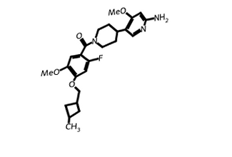 COc1cc(C(=O)N2CCC(c3cnc(N)cc3OC)CC2)c(F)cc1OCC1CC(C)C1